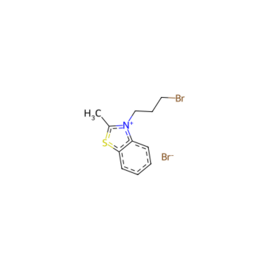 Cc1sc2ccccc2[n+]1CCCBr.[Br-]